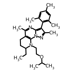 CCC1CCc2c(C)nc3c(-c4c(C)cc(C)cc4C)c(C)nn3c2N1CCOC(C)C